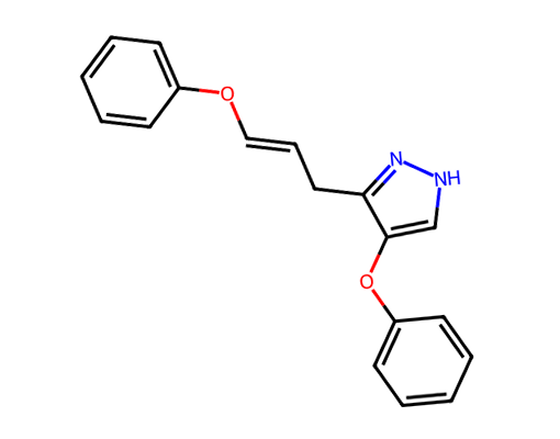 C(=COc1ccccc1)Cc1n[nH]cc1Oc1ccccc1